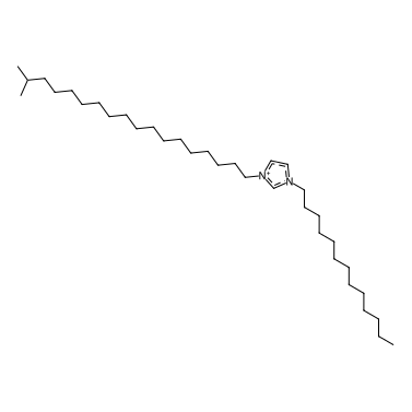 CCCCCCCCCCCCCn1cc[n+](CCCCCCCCCCCCCCCCC(C)C)c1